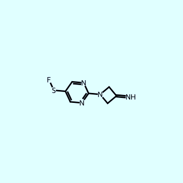 N=C1CN(c2ncc(SF)cn2)C1